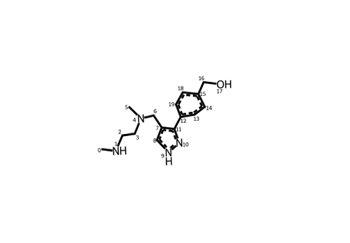 CNCCN(C)Cc1c[nH]nc1-c1ccc(CO)cc1